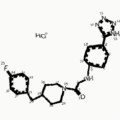 Cl.O=C(CNc1ccc(-c2nnn[nH]2)cc1)N1CCC(Cc2ccc(F)cc2)CC1